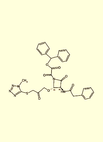 Cn1nnnc1SCC(=O)CO[C@H]1[C@H](NC(=O)Cc2ccccc2)C(=O)N1C(=O)C(=O)OC(c1ccccc1)c1ccccc1